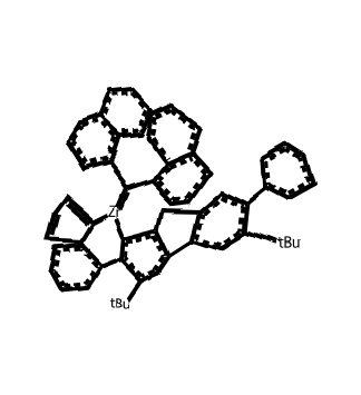 CC(C)(C)c1cc2c(cc1-c1ccccc1)Cc1c-2cc(C(C)(C)C)c(-c2ccccc2)[c]1[Zr]([C]1=CC=CC1)=[C](c1cccc2ccccc12)c1cccc2ccccc12